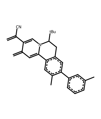 C=C(C#N)C1=CN2C(=CC1=C)c1cc(C)c(-c3cccc(C)c3)cc1CC2C(C)(C)C